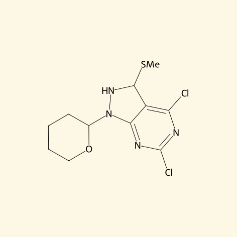 CSC1NN(C2CCCCO2)c2nc(Cl)nc(Cl)c21